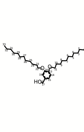 CCCCCCCCCCCCOc1ccc(CO)cc1OCCCCCCCCCCCC